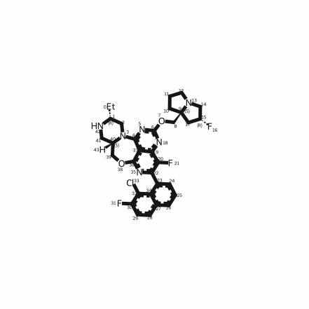 CC[C@@H]1CN2c3nc(OC[C@@]45CCCN4C[C@H](F)C5)nc4c(F)c(-c5cccc6ccc(F)c(Cl)c56)nc(c34)OC[C@@H]2CN1